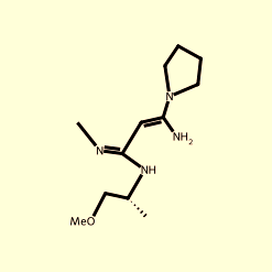 C/N=C(\C=C(/N)N1CCCC1)N[C@H](C)COC